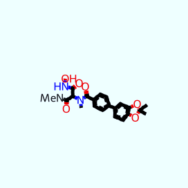 CNC(=O)C(C(=O)NO)N(C)C(=O)c1ccc(-c2ccc3c(c2)OC(C)(C)O3)cc1